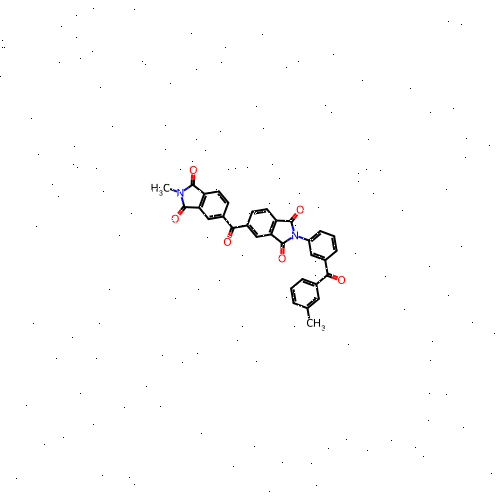 Cc1cccc(C(=O)c2cccc(N3C(=O)c4ccc(C(=O)c5ccc6c(c5)C(=O)N(C)C6=O)cc4C3=O)c2)c1